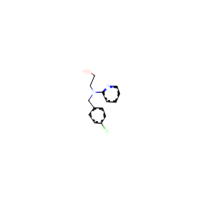 OCCN(Cc1ccc(Cl)cc1)c1ccccn1